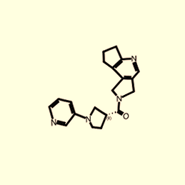 O=C([C@@H]1CCN(c2cccnc2)C1)N1Cc2cnc3c(c2C1)CCC3